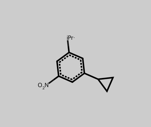 C[C](C)c1cc(C2CC2)cc([N+](=O)[O-])c1